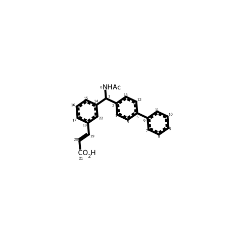 CC(=O)NC(c1ccc(-c2ccccc2)cc1)c1cccc(/C=C/C(=O)O)c1